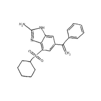 C=C(c1ccccc1)c1cc(S(=O)(=O)C2CCCCC2)c2nc(N)[nH]c2c1